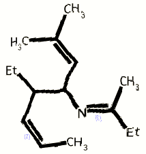 C/C=C\C(CC)C(C=C(C)C)/N=C(\C)CC